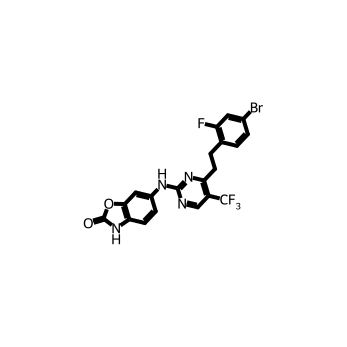 O=c1[nH]c2ccc(Nc3ncc(C(F)(F)F)c(CCc4ccc(Br)cc4F)n3)cc2o1